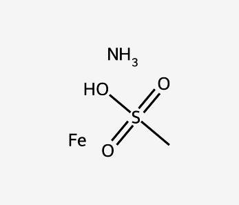 CS(=O)(=O)O.N.[Fe]